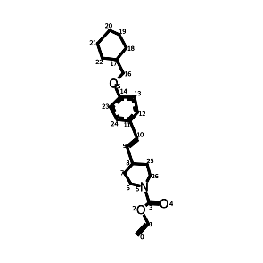 C=COC(=O)N1CCC(C=Cc2ccc(OCC3CCCCC3)cc2)CC1